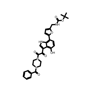 CC(C)(C)OC(=O)NCc1ccc(-c2ccc(O)c3c(C(=O)C(=O)N4CCN(C(=O)c5ccccc5)CC4)c[nH]c23)o1